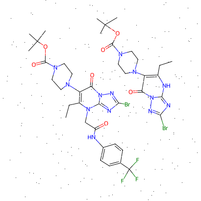 CCc1[nH]c2nc(Br)nn2c(=O)c1N1CCN(C(=O)OC(C)(C)C)CC1.CCc1c(N2CCN(C(=O)OC(C)(C)C)CC2)c(=O)n2nc(Br)nc2n1CC(=O)Nc1ccc(C(F)(F)F)cc1